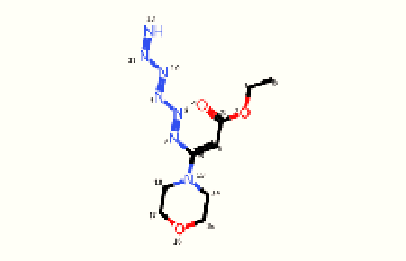 CCOC(=O)/C=C(\N=NN=NN=N)N1CCOCC1